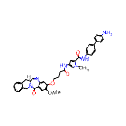 COc1cc2c(cc1OCCCC(=O)Nc1cc(C(=O)Nc3ccc(-c4ccc(N)cc4)cc3)n(C)c1)N=C[C@@H]1Cc3ccccc3CN1C2=O